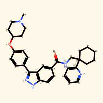 CN1CCC(Oc2ccc(-c3n[nH]c4ccc(C(=O)NCC5(c6ccccn6)CCCCC5)cc34)cc2)CC1